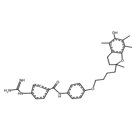 Cc1c(C)c2c(c(C)c1O)CCC(C)(CCCCOc1ccc(NC(=O)c3ccc(NC(=N)N)cc3)cc1)O2